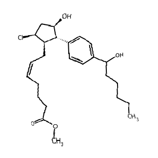 CCCCCC(O)c1ccc([C@@H]2[C@@H](C/C=C\CCCC(=O)OC)[C@@H](Cl)C[C@H]2O)cc1